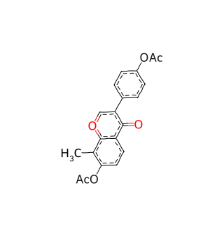 CC(=O)Oc1ccc(-c2coc3c(C)c(OC(C)=O)ccc3c2=O)cc1